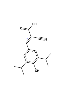 CC(C)c1cc(/C=C(\C#N)C(=O)O)cc(C(C)C)c1O